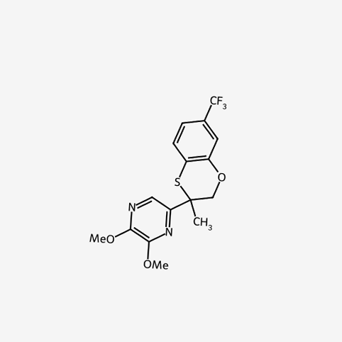 COc1ncc(C2(C)COc3cc(C(F)(F)F)ccc3S2)nc1OC